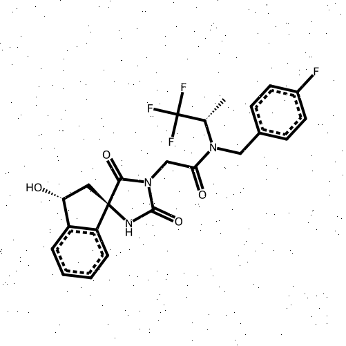 C[C@H](N(Cc1ccc(F)cc1)C(=O)CN1C(=O)N[C@@]2(C[C@@H](O)c3ccccc32)C1=O)C(F)(F)F